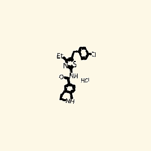 CCc1nc(NC(=O)c2ccc3c(c2)CCNC3)sc1Cc1ccc(Cl)cc1.Cl